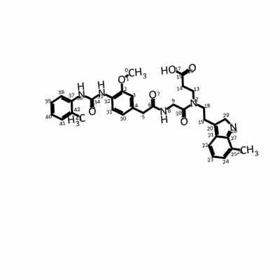 COc1cc(CC(=O)NCC(=O)N(CCC(=O)O)CCC2=c3cccc(C)c3=NC2)ccc1NC(=O)Nc1ccccc1C